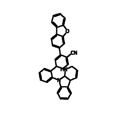 N#CC1=CCC(c2ccccc2N2c3ccccc3C3C=CCNC32)C=C1c1ccc2c(c1)oc1ccccc12